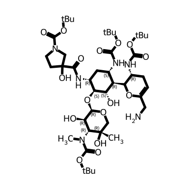 CN(C(=O)OC(C)(C)C)[C@@H]1[C@@H](O)[C@@H](O[C@@H]2[C@@H](O)[C@H](C3OC(CN)=CC[C@H]3NC(=O)OC(C)(C)C)[C@@H](NC(=O)OC(C)(C)C)C[C@H]2NC(=O)C2(O)CCN(C(=O)OC(C)(C)C)C2)OC[C@]1(C)O